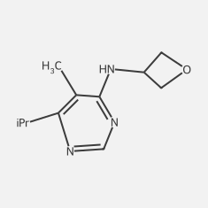 Cc1c(NC2COC2)ncnc1C(C)C